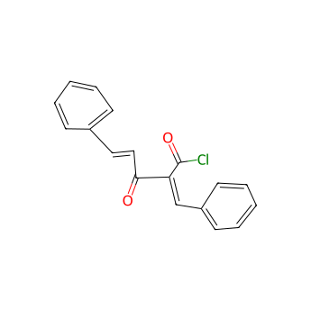 O=C(Cl)C(=Cc1ccccc1)C(=O)C=Cc1ccccc1